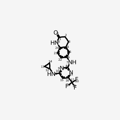 O=C1CCc2cc(Nc3nc(NC4CC4)cc(C(F)(F)F)n3)ccc2N1